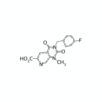 Cn1c(=O)n(Cc2ccc(F)cc2)c(=O)c2cc(C(=O)O)ncc21